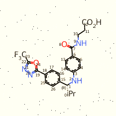 CC(C)[C@@H](Nc1ccc(C(=O)NCCC(=O)O)cc1)c1ccc(-c2nnc(C(F)(F)F)o2)cc1